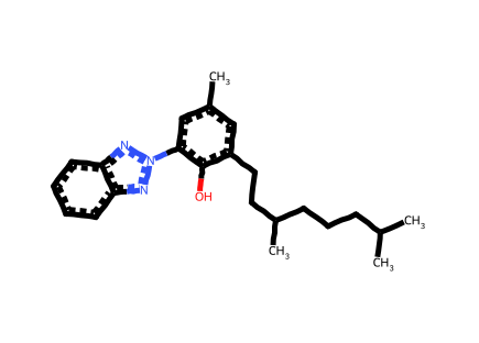 Cc1cc(CCC(C)CCCC(C)C)c(O)c(-n2nc3ccccc3n2)c1